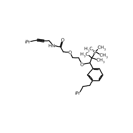 CC(C)C#CCNC(=O)COCCOC(c1cccc(CCC(C)C)c1)C(C)(C)[Si](C)(C)C